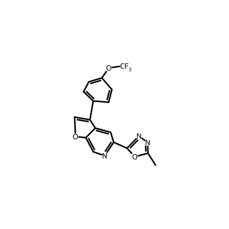 Cc1nnc(-c2cc3c(-c4ccc(OC(F)(F)F)cc4)coc3cn2)o1